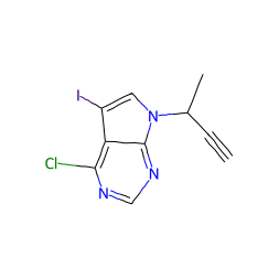 C#CC(C)n1cc(I)c2c(Cl)ncnc21